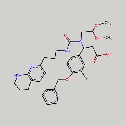 COC(CN(C(=O)NCCCc1ccc2c(n1)NCCC2)C(CC(=O)O)c1ccc(OCc2ccccc2)c(F)c1)OC